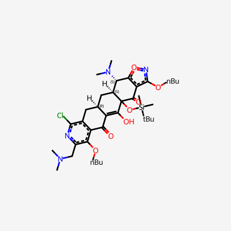 CCCCOc1noc2c1C(=O)C1(O[Si](C)(C)C(C)(C)C)C(O)=C3C(=O)c4c(c(Cl)nc(CN(C)C)c4OCCCC)C[C@H]3C[C@H]1[C@@H]2N(C)C